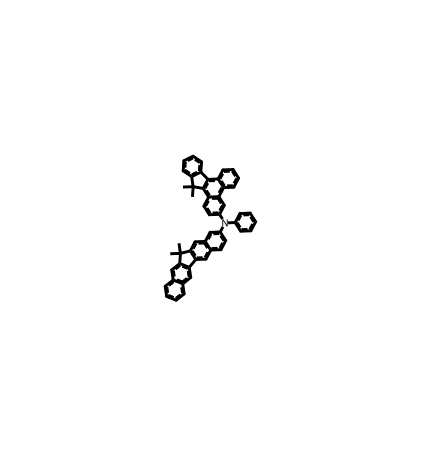 CC1(C)c2cc3ccccc3cc2-c2cc3ccc(N(c4ccccc4)c4ccc5c6c(c7ccccc7c5c4)-c4ccccc4C6(C)C)cc3cc21